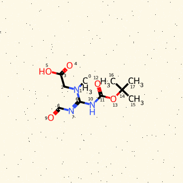 CN(CC(=O)O)/C(=N\C=O)NC(=O)OC(C)(C)C